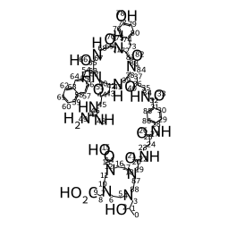 CC(O)CN1CCN(CC(=O)O)CCN(COO)CCN(CC(=O)NCCC(=O)Nc2ccc(C(=O)NCCC[C@@H]3C(=O)N[C@@H](CCCNC(=N)N)C(=O)N[C@@H](Cc4ccc5ccccc5c4)C(O)NCC(=O)N[C@H](Cc4ccc(O)cc4)C(=O)N3C)cc2)CC1